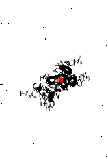 COc1ccc(C(c2ccccc2)(c2ccc(OC)cc2)C(O)[C@H]2O[C@@H](n3cnc4c(=O)[nH]c(NC(=O)C(C)C)nc43)C[C@@H]2O)cc1